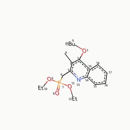 CCCCOc1c(C)c(CP(=O)(OCC)OCC)nc2ccccc12